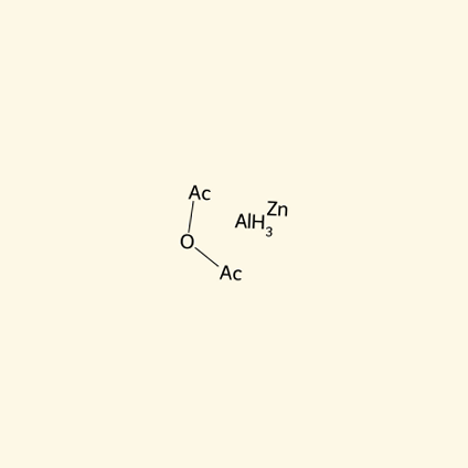 CC(=O)OC(C)=O.[AlH3].[Zn]